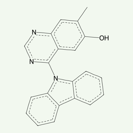 Cc1cc2ncnc(-n3c4ccccc4c4ccccc43)c2cc1O